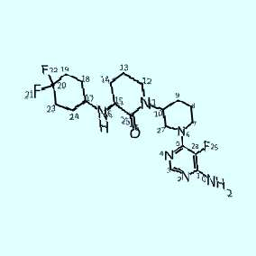 Nc1ncnc(N2CCCC(N3CCCC(NC4CCC(F)(F)CC4)C3=O)C2)c1F